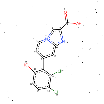 O=C(O)c1cn2ccc(-c3c(O)ccc(Cl)c3Cl)cc2n1